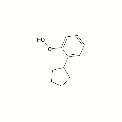 OOc1ccccc1C1CCCC1